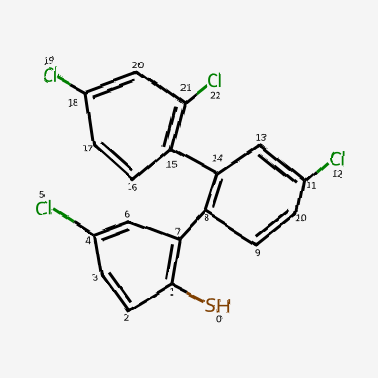 Sc1ccc(Cl)cc1-c1ccc(Cl)cc1-c1ccc(Cl)cc1Cl